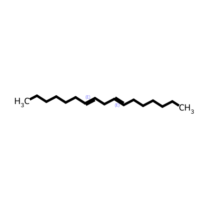 CCCCCC/C=C/C/C=C/CCCCCC